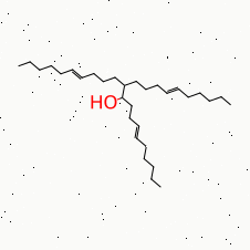 CCCCCC=CCCCC(CCCC=CCCCCC)C(O)CCC=CCCCCC